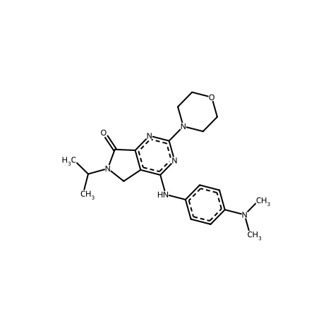 CC(C)N1Cc2c(Nc3ccc(N(C)C)cc3)nc(N3CCOCC3)nc2C1=O